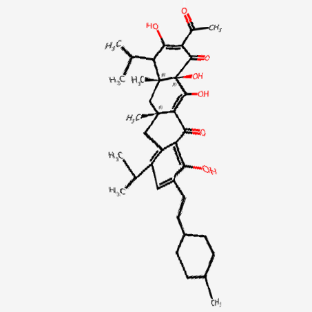 CC(=O)C1=C(O)C(C(C)C)[C@@]2(C)C[C@@]3(C)Cc4c(C(C)C)cc(CCC5CCC(C)CC5)c(O)c4C(=O)C3=C(O)[C@@]2(O)C1=O